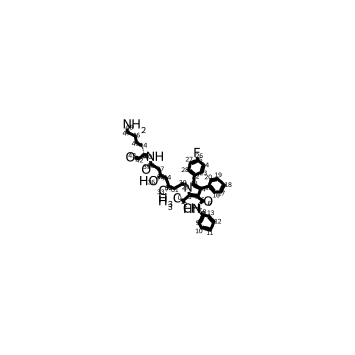 CC(C)c1c(C(=O)Nc2ccccc2)c(-c2ccccc2)c(-c2ccc(F)cc2)n1CC[C@@H](C)C[C@@H](O)CC(=O)N[C@H](C=O)CCCCN